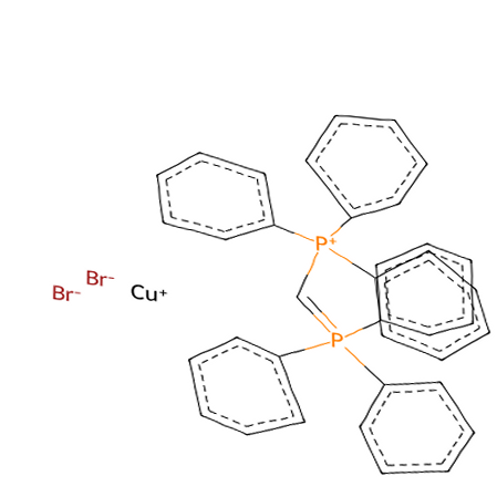 C(=P(c1ccccc1)(c1ccccc1)c1ccccc1)[P+](c1ccccc1)(c1ccccc1)c1ccccc1.[Br-].[Br-].[Cu+]